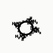 CCC1(N)CCCC(N)(CC)CCCC(N)(CC)CCC(N)(CC)CCC1